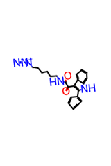 [N-]=[N+]=NCCCCCCNC(=O)C(=O)c1c(-c2ccccc2)[nH]c2ccccc12